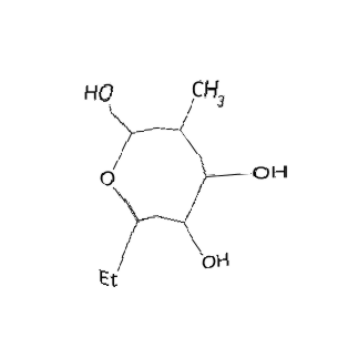 CCC1OC(O)C(C)C(O)C1O